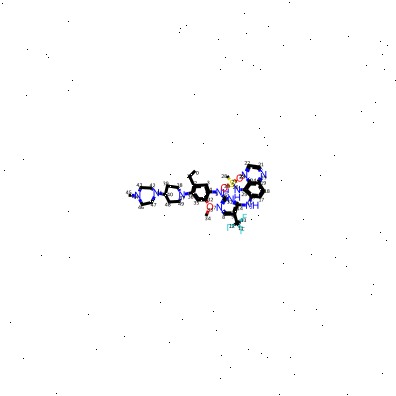 CCc1cc(Nc2ncc(C(F)(F)F)c(Nc3ccc4nccnc4c3NS(C)(=O)=O)n2)c(OC)cc1N1CCC(N2CCN(C)CC2)CC1